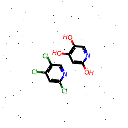 Clc1cc(Cl)c(Cl)cn1.Oc1cc(O)c(O)cn1